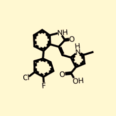 Cc1cc(C(=O)O)c(C=C2C(=O)Nc3cccc(-c4ccc(F)c(Cl)c4)c32)[nH]1